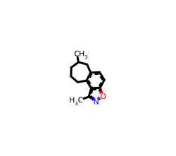 Cc1noc2ccc3c(c12)CCCC(C)C3